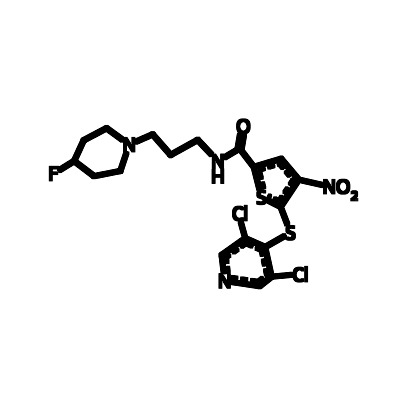 O=C(NCCCN1CCC(F)CC1)c1cc([N+](=O)[O-])c(Sc2c(Cl)cncc2Cl)s1